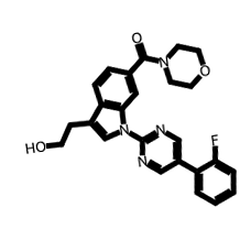 O=C(c1ccc2c(CCO)cn(-c3ncc(-c4ccccc4F)cn3)c2c1)N1CCOCC1